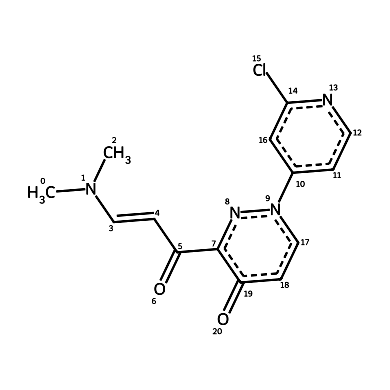 CN(C)C=CC(=O)c1nn(-c2ccnc(Cl)c2)ccc1=O